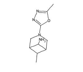 Cc1nnc(N2CC3C(C)C(C2)C3N)o1